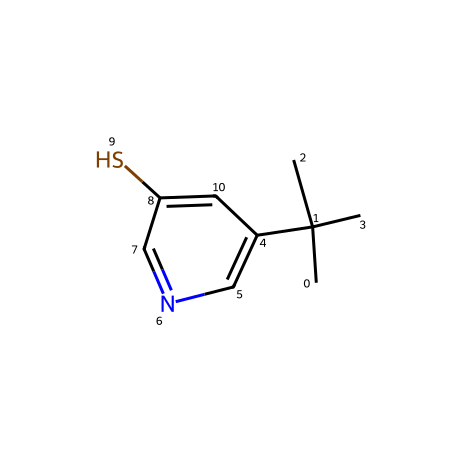 CC(C)(C)c1cncc(S)c1